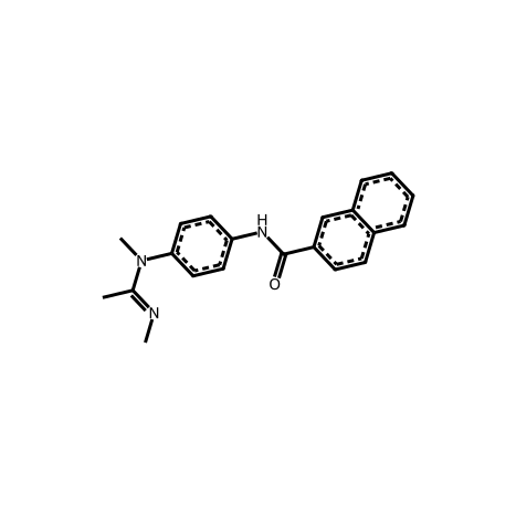 CN=C(C)N(C)c1ccc(NC(=O)c2ccc3ccccc3c2)cc1